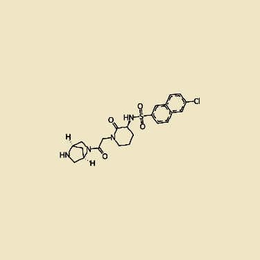 O=C1[C@@H](NS(=O)(=O)c2ccc3cc(Cl)ccc3c2)CCCN1CC(=O)N1C[C@H]2C[C@@H]1CN2